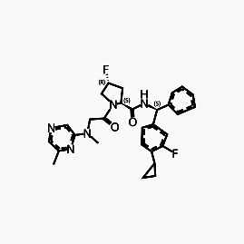 Cc1cncc(N(C)CC(=O)N2C[C@H](F)C[C@H]2C(=O)N[C@@H](c2ccccc2)c2ccc(C3CC3)c(F)c2)n1